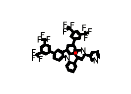 FC(F)(F)c1cc(-c2ccc3c(c2)c2cc(-c4cc(C(F)(F)F)cc(C(F)(F)F)c4)ccc2n3-c2ccccc2-c2ccnc(-c3cccnc3)c2)cc(C(F)(F)F)c1